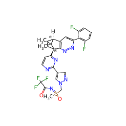 CC1(C)[C@H]2CC[C@@]1(c1ccnc(-c3cnn(CS(C)(=O)=NC(=O)C(F)(F)F)c3)n1)c1nnc(-c3c(F)cccc3F)cc12